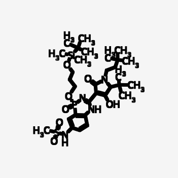 CC(C)(C)CCN1C(=O)C(C2=NP(=O)(OCCCO[Si](C)(C)C(C)(C)C)c3cc(NS(C)(=O)=O)ccc3N2)=C(O)C1C(C)(C)C